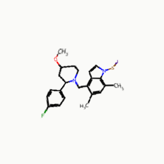 COC1CCN(Cc2c(C)cc(C)c3c2ccn3SI)C(c2ccc(F)cc2)C1